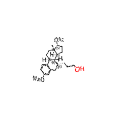 COc1ccc2c(c1)C[C@@H](CCCO)[C@@H]1[C@@H]2CC[C@]2(C)[C@@H](OC(C)=O)CC[C@@H]12